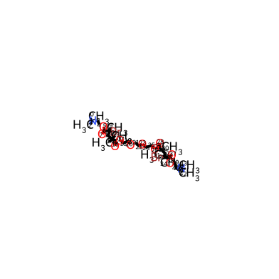 CN(C)CCOC(=O)C(C)(Br)CC(C)(C)C(=O)OCCOCCOCCOC(=O)C(C)(C)CC(C)(Br)C(=O)OCCN(C)C